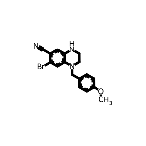 COc1ccc(CN2CCNc3cc(C#N)c(Br)cc32)cc1